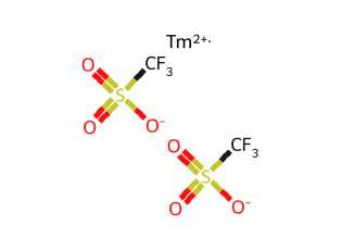 O=S(=O)([O-])C(F)(F)F.O=S(=O)([O-])C(F)(F)F.[Tm+2]